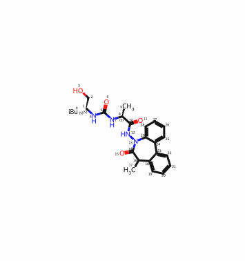 CC[C@H](C)[C@@H](CO)NC(=O)N[C@@H](C)C(=O)NN1C(=O)C(C)c2ccccc2-c2ccccc21